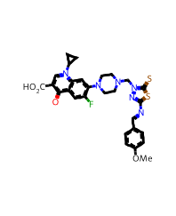 COc1ccc(C=Nc2nn(CN3CCN(c4cc5c(cc4F)c(=O)c(C(=O)O)cn5C4CC4)CC3)c(=S)s2)cc1